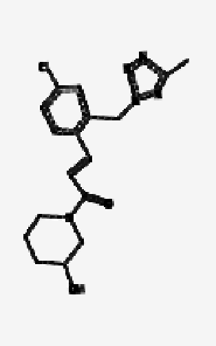 Cc1nnn(Cc2cc(Cl)ccc2/C=C/C(=O)N2CCCC(O)C2)n1